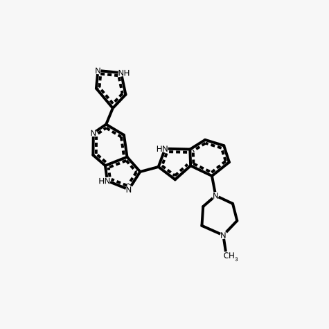 CN1CCN(c2cccc3[nH]c(-c4n[nH]c5cnc(-c6cn[nH]c6)cc45)cc23)CC1